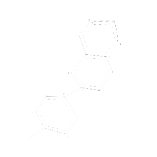 Cc1ccc(-c2ccc3ncncc3c2)cc1